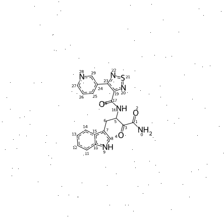 NC(=O)C(=O)C(Cc1c[nH]c2ccccc12)NC(=O)c1nsnc1-c1cccnc1